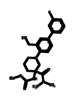 CN(C)C(=O)C1(NC(=O)OC(C)(C)C)CCCN(c2ccc(-c3cccc(F)c3)cc2CO)C1